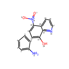 Nc1ccccc1.O=[N+]([O-])c1ccc(O)c2ncccc12